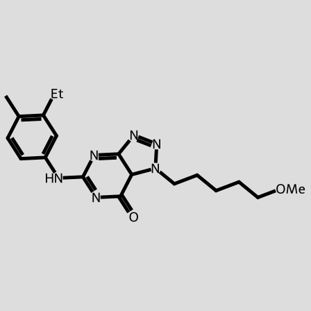 CCc1cc(NC2=NC(=O)C3C(=N2)N=NN3CCCCCOC)ccc1C